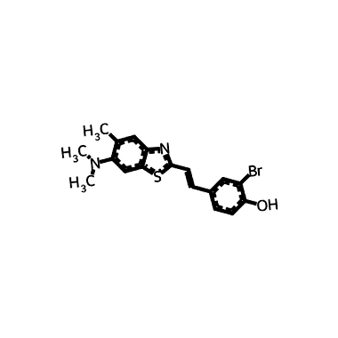 Cc1cc2nc(C=Cc3ccc(O)c(Br)c3)sc2cc1N(C)C